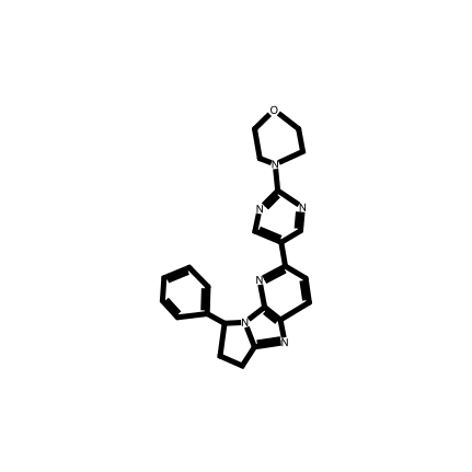 c1ccc(C2CCc3nc4ccc(-c5cnc(N6CCOCC6)nc5)nc4n32)cc1